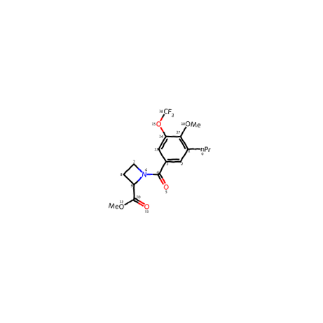 CCCc1cc(C(=O)N2CCC2C(=O)OC)cc(OC(F)(F)F)c1OC